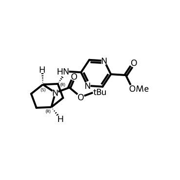 COC(=O)c1cnc(N[C@@H]2C[C@H]3CC[C@@H]2N3C(=O)OC(C)(C)C)cn1